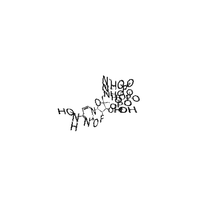 [N-]=[N+]=NC[C@]1(COP(=O)(O)OP(=O)(O)OP(=O)(O)O)O[C@@H](n2ccc(NO)nc2=O)[C@H](F)[C@@H]1O